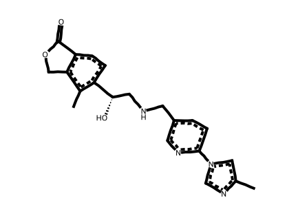 Cc1cn(-c2ccc(CNC[C@H](O)c3ccc4c(c3C)COC4=O)cn2)cn1